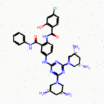 N[C@@H]1C[C@H](N)CN(c2nc(Nc3ccc(NC(=O)c4ccc(Cl)cc4O)c(C(=O)Nc4ccccc4)c3)nc(N3C[C@H](N)C[C@H](N)C3)n2)C1